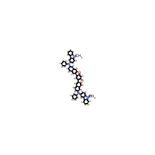 Cn1c2ccccc2c2cc(N(c3ccccc3)c3ccc4cc5c(cc4c3)oc3cc4oc6cc7cc(N(c8ccccc8)c8ccc9c(c8)c8ccccc8n9C)ccc7cc6c4cc35)ccc21